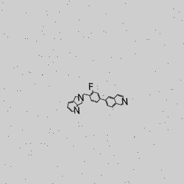 Fc1cc(-c2ccc3cnccc3c2)ccc1CN1Cc2cccnc2C1